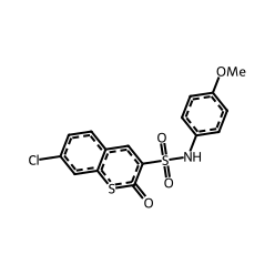 COc1ccc(NS(=O)(=O)c2cc3ccc(Cl)cc3sc2=O)cc1